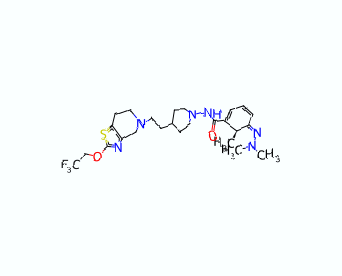 C[C@H]1C(C(=O)NN2CCC(CCN3CCc4sc(OCC(F)(F)F)nc4C3)CC2)=CC=C/C1=N/N(C)C